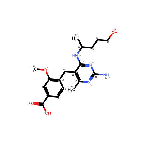 COc1cc(C(=O)O)ccc1Cc1c(C)nc(N)nc1NC(C)CCCO